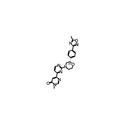 Cc1nc(-c2ccc([C@H]3CN(c4nccc(-c5cc(=O)n(C)cn5)n4)CCO3)cc2)no1